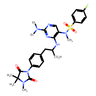 CCN(CC)c1ncc(N(C)S(=O)(=O)c2ccc(F)cc2)c(NC(Cc2ccc(N3C(=O)N(C)C(C)(C)C3=O)cc2)C(=O)O)n1